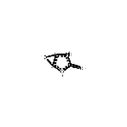 O=c1[nH]c2c(o1)O2